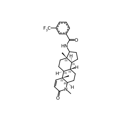 CN1C(=O)C=C[C@]2(C)[C@H]3CC[C@]4(C)C(NC(=O)c5cccc(C(F)(F)F)c5)CC[C@H]4[C@@H]3CC[C@@H]12